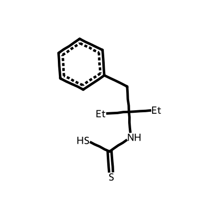 CCC(CC)(Cc1ccccc1)NC(=S)S